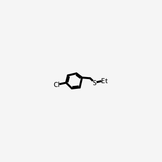 CCSCc1ccc(Cl)cc1